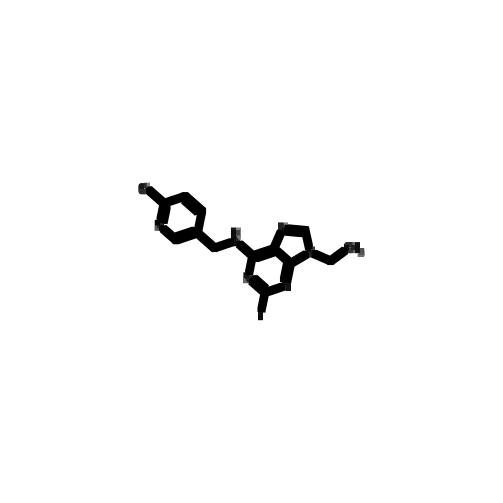 CCn1cnc2c(NCc3ccc(Cl)nc3)nc(I)nc21